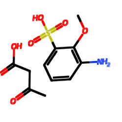 CC(=O)CC(=O)O.COc1c(N)cccc1S(=O)(=O)O